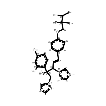 O[C@@](Cn1cncn1)(c1ccc(F)cc1F)C(C=Cc1ccc(OCC(F)(F)C(F)F)cc1)n1cncn1